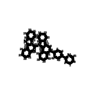 c1ccc(-c2ccc(-c3cc4c5ccccc5n(-c5nc6ccccc6c6nc7ccccc7n56)c4c4ccccc34)cc2)nc1